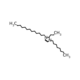 CCCCCCCCCCCCCN1C=CN(CCCCCCCC)C1CCC